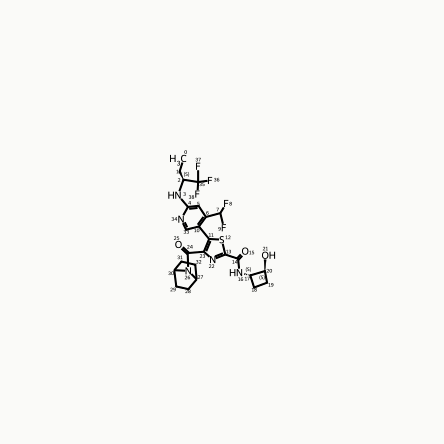 CC[C@H](Nc1cc(C(F)F)c(-c2sc(C(=O)N[C@H]3CC[C@@H]3O)nc2C(=O)N2C3CCC2CC3)cn1)C(F)(F)F